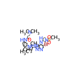 CCS(=O)(=O)N1CCC(Nc2c(Br)cnc3nc(-c4cc(C)n(-c5cc(NC(=O)CCN(C)C)ccc5C)c4C)[nH]c23)C1